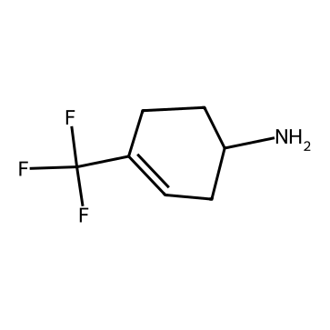 NC1CC=C(C(F)(F)F)CC1